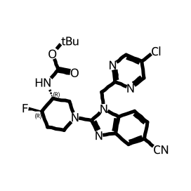 CC(C)(C)OC(=O)N[C@@H]1CN(c2nc3cc(C#N)ccc3n2Cc2ncc(Cl)cn2)CC[C@H]1F